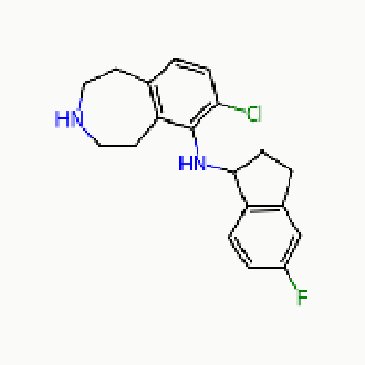 Fc1ccc2c(c1)CCC2Nc1c(Cl)ccc2c1CCNCC2